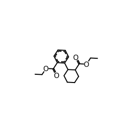 CCOC(=O)c1ccccc1C1CCCCC1C(=O)OCC